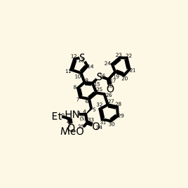 CCC(=O)N[C@@H](Cc1ccc(-c2ccsc2)c(SC(=O)c2ccccc2)c1Cc1ccccc1)C(=O)OC